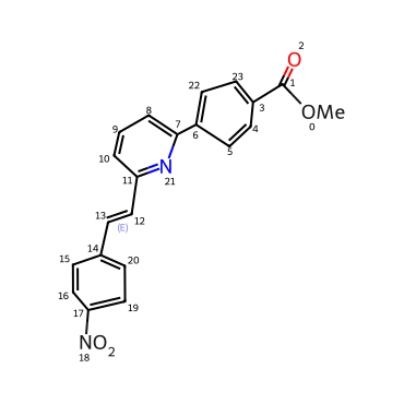 COC(=O)c1ccc(-c2cccc(/C=C/c3ccc([N+](=O)[O-])cc3)n2)cc1